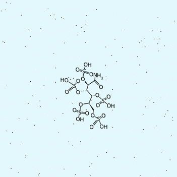 NC(=O)[C@H](OS(=O)(=O)O)[C@@H](OS(=O)(=O)O)[C@H](OS(=O)(=O)O)[C@@H](COS(=O)(=O)O)OS(=O)(=O)O